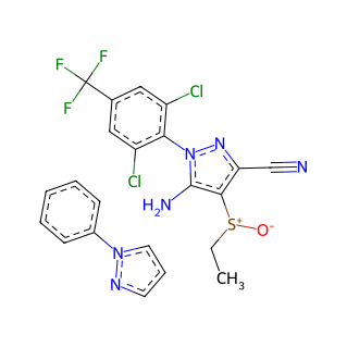 CC[S+]([O-])c1c(C#N)nn(-c2c(Cl)cc(C(F)(F)F)cc2Cl)c1N.c1ccc(-n2cccn2)cc1